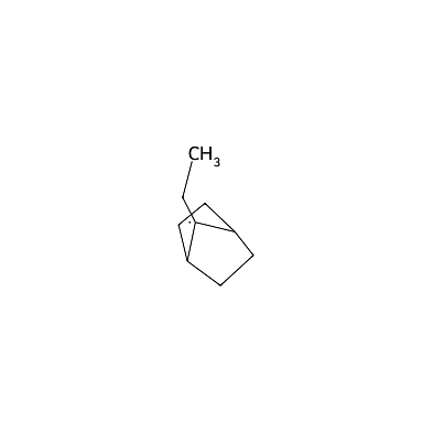 CC[C]1C2CCC1CC2